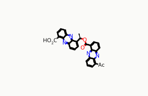 CC(=O)c1cccc2nc3c(C(=O)O[C@H](C)c4cccc5nc6c(C(=O)O)cccc6nc45)cccc3nc12